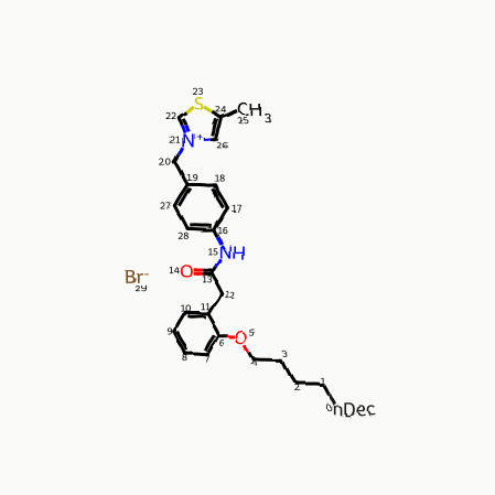 CCCCCCCCCCCCCCOc1ccccc1CC(=O)Nc1ccc(C[n+]2csc(C)c2)cc1.[Br-]